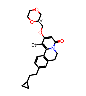 CCc1c(OC[C@@H]2COCCO2)cc(=O)n2c1-c1ccc(CCC3CC3)cc1CC2